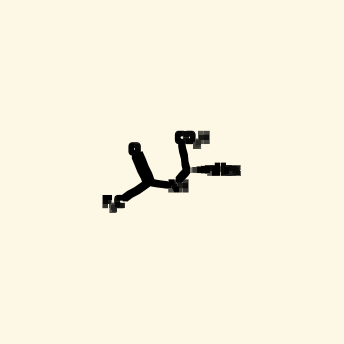 CCCCCC[C@H](NC(=O)C(F)(F)F)C(=O)O